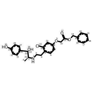 C[C@H](NCCc1ccc(OCC(=O)OCc2ccccc2)cc1Cl)[C@@H](O)c1ccc(O)cc1